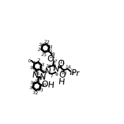 Cc1ccc2c(N3CCN(C(=O)C(O)CC(C)C)C(COCc4ccccc4)C3)nc(-c3ccccc3O)nc2c1